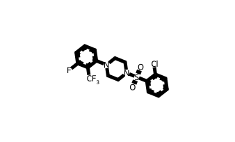 O=S(=O)(c1ccccc1Cl)N1CCN(c2cccc(F)c2C(F)(F)F)CC1